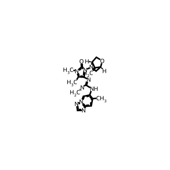 C=N/C(=N\c1c(C)n(C)c(=O)n1N1C[C@H]2OC[C@@H]1C2=C)Nc1cn2ncnc2cc1C